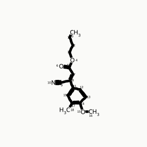 CCCCOC(=O)C=C(C#N)c1ccc(OC)c(C)c1